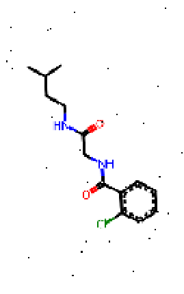 CC(C)CCNC(=O)CNC(=O)c1ccccc1Cl